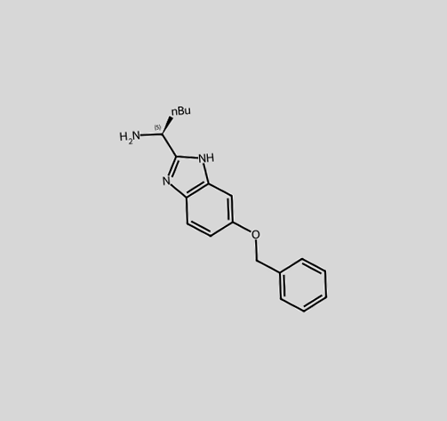 CCCC[C@H](N)c1nc2ccc(OCc3ccccc3)cc2[nH]1